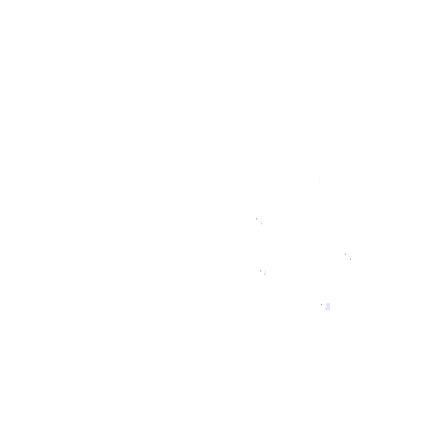 Cc1nc(N)c2nc(C)n(CCCS(=O)(=O)c3ccc(F)cc3F)c2c1C